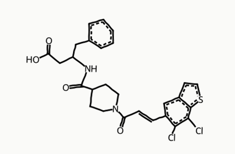 O=C(O)CC(Cc1ccccc1)NC(=O)C1CCN(C(=O)C=Cc2cc3ccsc3c(Cl)c2Cl)CC1